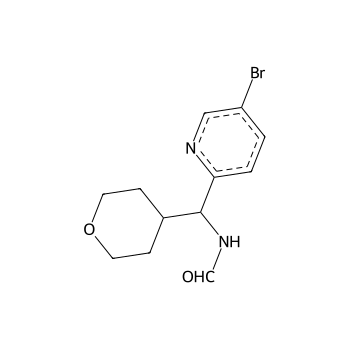 O=CNC(c1ccc(Br)cn1)C1CCOCC1